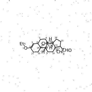 CCOC1=CC2CC[C@@H]3[C@H](CC[C@]4(C)C(C=O)CC[C@@H]34)[C@@]2(C)CC1